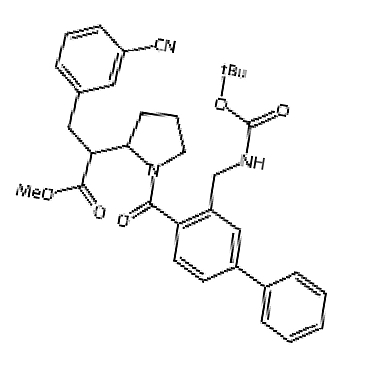 COC(=O)C(Cc1cccc(C#N)c1)C1CCCN1C(=O)c1ccc(-c2ccccc2)cc1CNC(=O)OC(C)(C)C